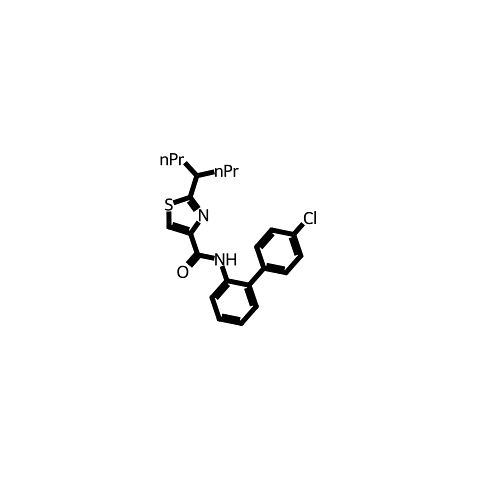 CCCC(CCC)c1nc(C(=O)Nc2ccccc2-c2ccc(Cl)cc2)cs1